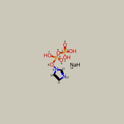 O=P(O)(O)OP(=O)(O)On1ccnc1.[NaH]